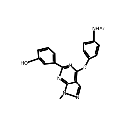 CC(=O)Nc1ccc(Oc2nc(-c3cccc(O)c3)nc3c2cnn3C)cc1